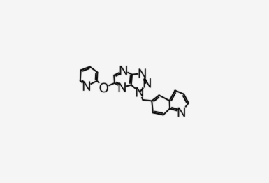 c1ccc(Oc2cnc3nnn(Cc4ccc5ncccc5c4)c3n2)nc1